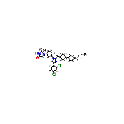 CC(C)(C)CCCc1ccc(-c2ccc(Cc3nc(-c4ccc(Cl)cc4Cl)cn3-c3cccc(N4CC(=O)NS4(=O)=O)c3)cc2)cc1